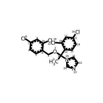 CC(OCc1ccc(Cl)cc1Cl)(c1ccc(Cl)cc1Cl)n1ccnc1